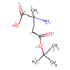 CC(C)(C)OC(=O)CC(C)(N)C(=O)O